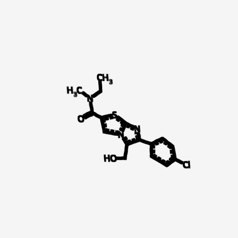 CCN(C)C(=O)c1cn2c(CO)c(-c3ccc(Cl)cc3)nc2s1